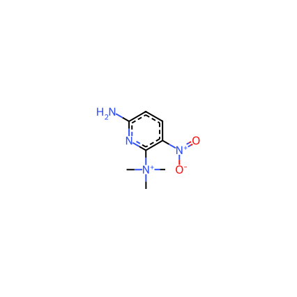 C[N+](C)(C)c1nc(N)ccc1[N+](=O)[O-]